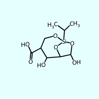 CC(C)[Si]12OCC(C(=O)O)C(O)C(O1)C(O)O2